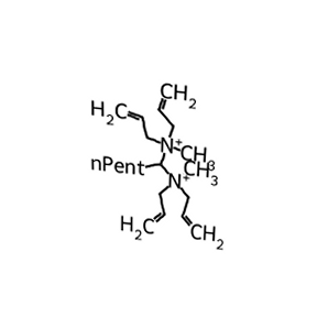 C=CC[N+](C)(CC=C)C(CCCCC)[N+](C)(CC=C)CC=C